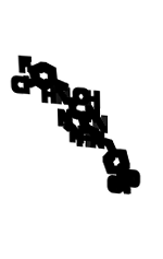 CS(=O)(=O)c1ccc(CNc2n[nH]c3c(C(=O)NCc4ccc(F)c(Cl)c4)ncnc23)cc1